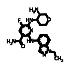 CCn1ncc2c(Nc3nc(N[C@@H]4CCOC[C@@H]4N)c(F)cc3C(N)=O)cccc21